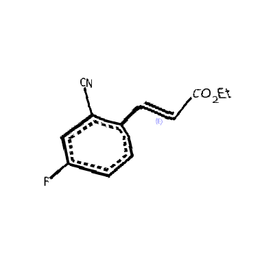 CCOC(=O)/C=C/c1ccc(F)cc1C#N